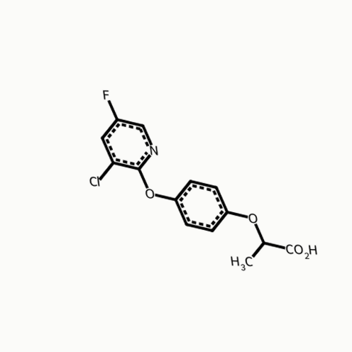 CC(Oc1ccc(Oc2ncc(F)cc2Cl)cc1)C(=O)O